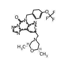 C[C@@H]1CN(Cc2cnc3c(c2)c2ncnn2c(=O)n3CC2=CC=C(OC(F)(F)F)CC2)C[C@H](C)O1